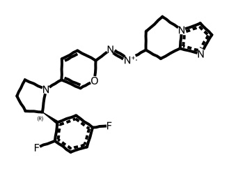 Fc1ccc(F)c([C@H]2CCCN2C2=COC(N=[N+]C3CCn4ccnc4C3)C=C2)c1